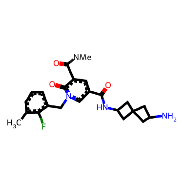 CNC(=O)c1cc(C(=O)NC2CC3(CC(N)C3)C2)cn(Cc2cccc(C)c2F)c1=O